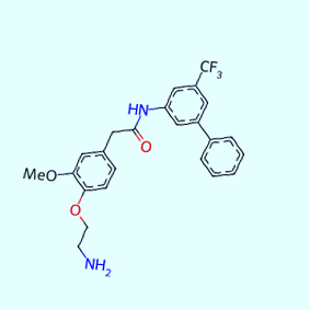 COc1cc(CC(=O)Nc2cc(-c3ccccc3)cc(C(F)(F)F)c2)ccc1OCCN